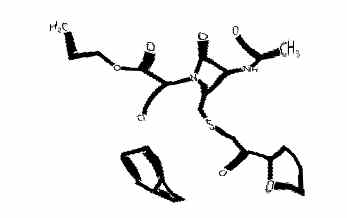 C=CCOC(=O)C(Cl)N1C(=O)C(NC(C)=O)C1SCC(=O)C1CCCO1.c1cc2cc-2c1